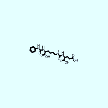 O=C(O)CCC(NC(=O)NCCCCC(NC(=O)Nc1ccccc1)C(=O)O)C(=O)O